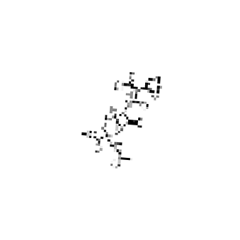 CC(=O)OCC1(C(=O)O)CS[C@@H]2C(NC(=O)C(=C(Cl)Cl)c3ccco3)C(=O)N2C1